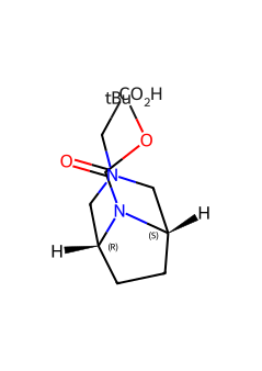 CC(C)(C)OC(=O)N1[C@@H]2CC[C@H]1CN(CC(=O)O)C2